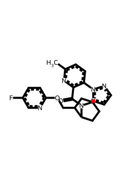 Cc1ccc(-n2nccn2)c(C(=O)N2C3CCC2C(COc2ccc(F)cn2)C3)n1